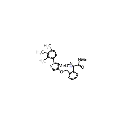 CNC(=O)/C(=N/OC)c1ccccc1COc1cnn(-c2ccc(C)c(C)c2C)c1